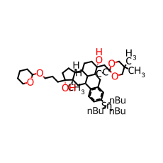 CCC[CH2][Sn]([CH2]CCC)([CH2]CCC)[c]1ccc2c(c1)C[C@]13CCC4(C[C@]1(O)CC[C@@H]1C3C2C[C@@]2(C)[C@@H]1CC[C@]2(O)CCCOC1CCCCO1)OCC(C)(C)CO4